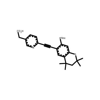 CCCCCCc1cc2c(cc1C#Cc1ccc(CC(=O)O)cn1)C(C)(C)CC(C)(C)S2